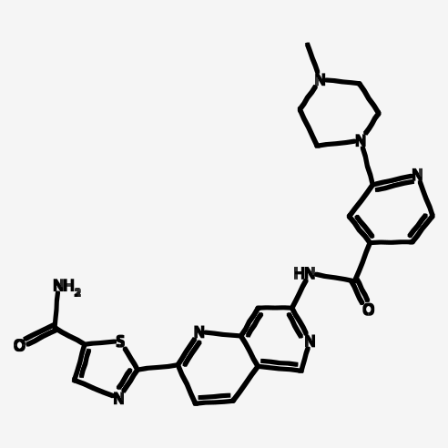 CN1CCN(c2cc(C(=O)Nc3cc4nc(-c5ncc(C(N)=O)s5)ccc4cn3)ccn2)CC1